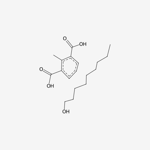 CCCCCCCCCO.Cc1c(C(=O)O)cccc1C(=O)O